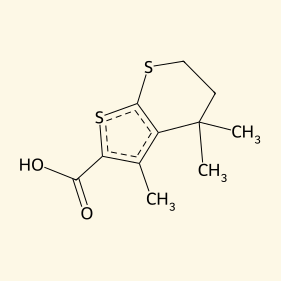 Cc1c(C(=O)O)sc2c1C(C)(C)CCS2